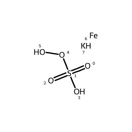 O=S(=O)(O)OO.[Fe].[KH]